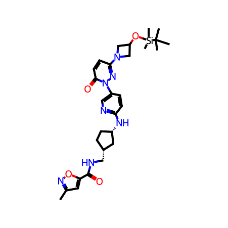 Cc1cc(C(=O)NC[C@@H]2CC[C@H](Nc3ccc(-n4nc(N5CC(O[Si](C)(C)C(C)(C)C)C5)ccc4=O)cn3)C2)on1